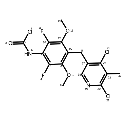 COc1c(F)c(NC(=O)Cl)c(F)c(OC)c1Cc1cnc(Cl)c(C)c1Cl